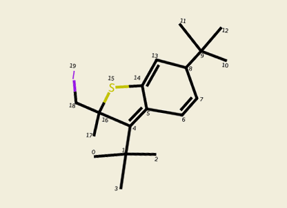 CC(C)(C)C1=C2C=CC(C(C)(C)C)C=C2SC1(C)CI